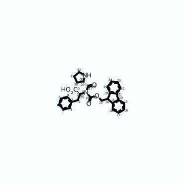 O=C(O)[C@@H](Cc1ccccc1)N(C(=O)OCC1c2ccccc2-c2ccccc21)C(=O)[C@@H]1CCCN1